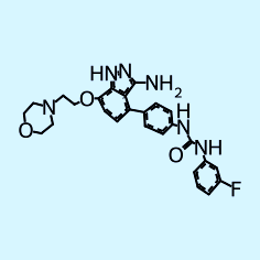 Nc1n[nH]c2c(OCCN3CCOCC3)ccc(-c3ccc(NC(=O)Nc4cccc(F)c4)cc3)c12